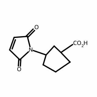 O=C(O)C1CCCC(N2C(=O)C=CC2=O)C1